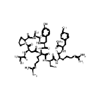 CCC(C)C(N)C(=O)NC(CC(N)=O)C(=O)N1CCCC1C(=O)NC(C(=O)NC(Cc1ccc(O)cc1)C(=O)NC(CCCN=C(N)N)C(=O)NC(CC(C)C)C(=O)NC(CCCN=C(N)N)C(=O)NC(Cc1ccc(O)cc1)C(=O)OC)C(C)CC